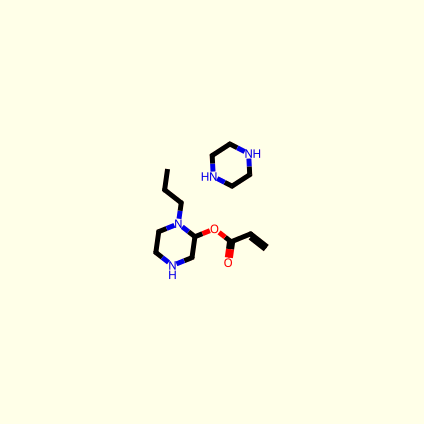 C1CNCCN1.C=CC(=O)OC1CNCCN1CCC